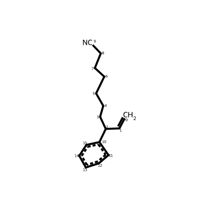 C=CC(CCCCCCC#N)c1ccccc1